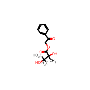 CC(O)(C(=O)O)C(C)(O)C(=O)OCC(=O)c1ccccc1